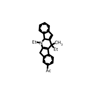 CCN1C2=C(c3ccc(C(C)=O)cc3C2)C(C)(CC)C2=Cc3ccccc3C21